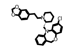 Clc1ccc2c(c1)N(C[C@H]1CCCCN1CCc1ccc3c(c1)OCO3)c1ccccc1CO2